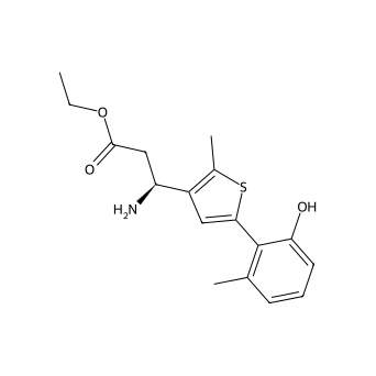 CCOC(=O)C[C@H](N)c1cc(-c2c(C)cccc2O)sc1C